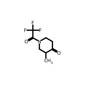 CC1CN(C(=O)C(F)(F)F)CCC1=O